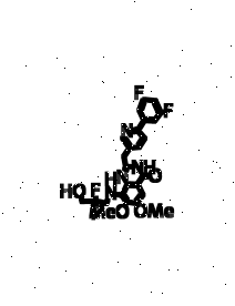 COc1cc2c(=O)[nH]c(Cc3ccc(-c4cc(F)cc(F)c4)nc3)nc2c(NCC(F)(F)CO)c1OC